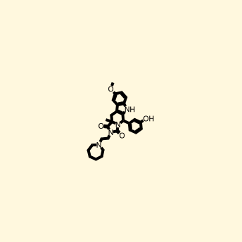 COc1ccc2[nH]c3c(c2c1)CC1(C)C(=O)N(CCN2CCCCCC2)C(=O)N1C3c1cccc(O)c1